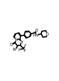 O=C(NC1CCOCC1)c1ccc(C2=CC=CN3C(=O)C(Br)C(C(F)(F)F)N=C23)cc1